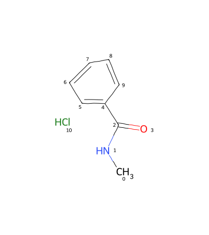 CNC(=O)c1ccccc1.Cl